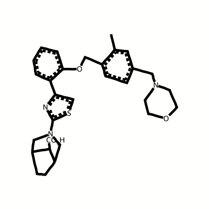 Cc1cc(CN2CCOCC2)ccc1COc1ccccc1-c1csc(N2CC3CCC(C2)C3C(=O)O)n1